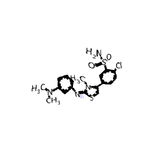 CN(C)c1cccc(/N=c2/scc(-c3ccc(Cl)c(S(N)(=O)=O)c3)n2C)c1